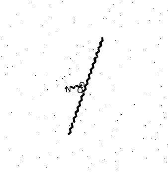 CCC=CCC=CCC=CCCCCCCCCC(CCCCCCCCC=CCCCCCCCC)OC(=O)CCCN(C)C